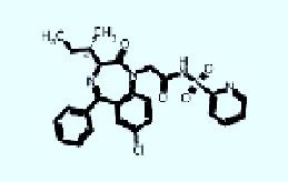 CC[C@H](C)C1N=C(c2ccccc2)c2cc(Cl)ccc2N(CC(=O)NS(=O)(=O)c2ccccn2)C1=O